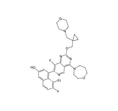 CCc1c(F)ccc2cc(O)cc(-c3ncc4c(N5CCCOCC5)nc(OCC5(CN6CCOCC6)CC5)nc4c3F)c12